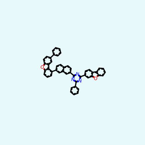 c1ccc(-c2ccc3oc4cccc(-c5ccc6ccc(-c7nc(-c8ccccc8)nc(-c8ccc9c(c8)oc8ccccc89)n7)cc6c5)c4c3c2)cc1